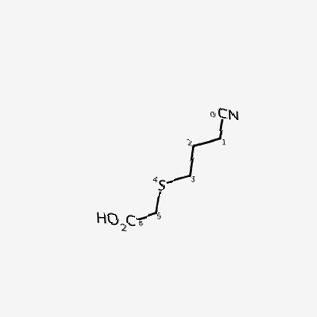 N#CCCCSCC(=O)O